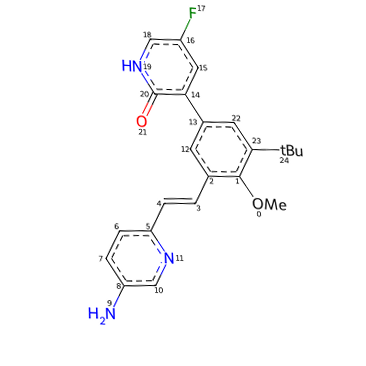 COc1c(C=Cc2ccc(N)cn2)cc(-c2cc(F)c[nH]c2=O)cc1C(C)(C)C